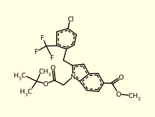 COC(=O)c1ccc2c(c1)cc(Cc1ccc(Cl)cc1C(F)(F)F)n2CC(=O)OC(C)(C)C